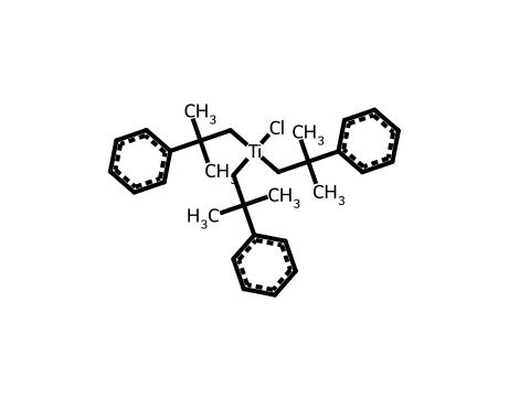 CC(C)([CH2][Ti]([Cl])([CH2]C(C)(C)c1ccccc1)[CH2]C(C)(C)c1ccccc1)c1ccccc1